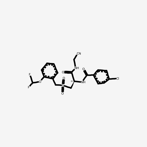 N#CCNC(=O)[C@H](CS(=O)(=O)Cc1ccccc1OC(F)F)NC(=O)c1ccc(Cl)cc1